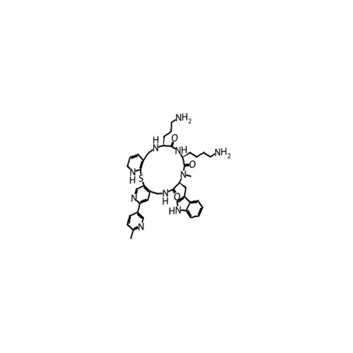 Cc1ccc(-c2cc3c(cn2)SC2=C(C=CCN2)CN[C@@H](CCCN)C(=O)N[C@@H](CCCCN)C(=O)N(C)[C@@H](Cc2c[nH]c4ccccc24)C(=O)NC3)cn1